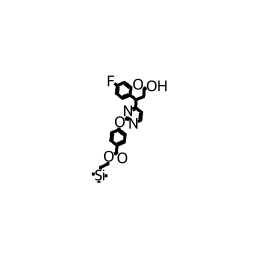 C[Si](C)(C)CCOC(=O)c1ccc(Oc2nccc(C(CC(=O)O)c3ccc(F)cc3)n2)cc1